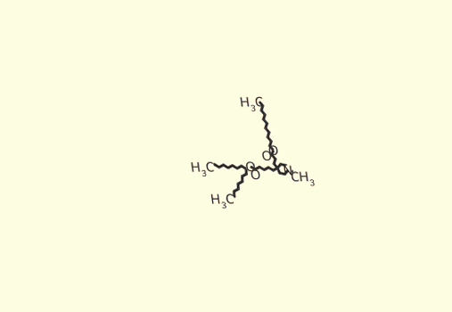 CCCCCCCCCCCOC(=O)CCC1(CCCCC(=O)OC(CCCCCCCC)CCCCCCCC)CCN(CC)CC1